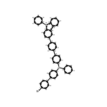 Brc1ccc(-c2ccc(N(c3ccccc3)c3ccc(-c4ccc(-c5ccc6c(c5)c5ccccc5n6-c5ccccc5)cc4)cc3)cc2)cc1